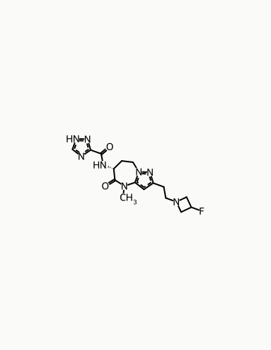 CN1C(=O)[C@H](NC(=O)c2nc[nH]n2)CCn2nc(CCN3CC(F)C3)cc21